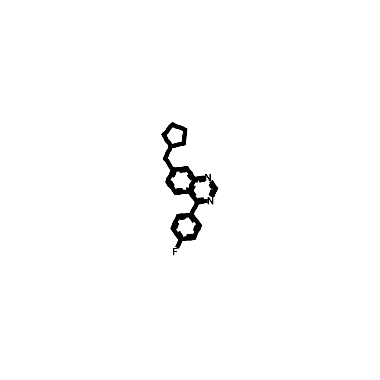 Fc1ccc(-c2ncnc3cc(CC4CCCC4)ccc23)cc1